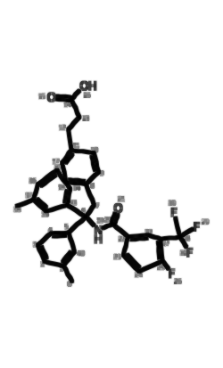 Cc1cccc(C(Cc2ccc(CCC(=O)O)cc2)(NC(=O)c2ccc(F)c(C(F)(F)F)c2)c2cccc(C)c2)c1